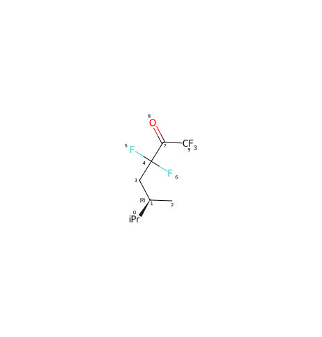 CC(C)[C@H](C)CC(F)(F)C(=O)C(F)(F)F